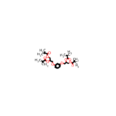 C=C(C)C(=O)OCC(COc1cccc(OCC(COC(=O)C(=C)C)OC(=O)C(=C)C)c1)OC(=O)C(=C)C